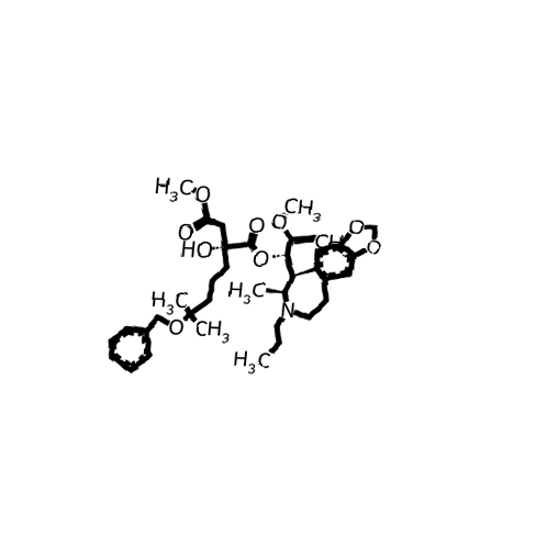 C/C=C(/OC)[C@@H](OC(=O)[C@@](O)(CCCC(C)(C)OCc1ccccc1)CC(=O)OC)[C@H]1c2cc3c(cc2CCN(CCC)[C@H]1C)OCO3